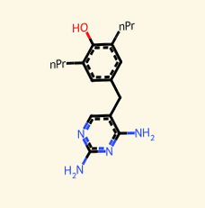 CCCc1cc(Cc2cnc(N)nc2N)cc(CCC)c1O